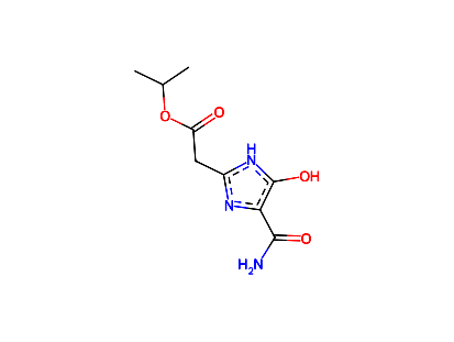 CC(C)OC(=O)Cc1nc(C(N)=O)c(O)[nH]1